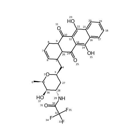 C[C@H]1O[C@@H](CC2C=CCC3C(=O)c4c(c(O)c5ccccc5c4O)C(=O)C23)C[C@H](NC(=O)C(F)(F)F)[C@H]1O